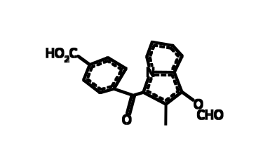 Cc1c(OC=O)c2ccccn2c1C(=O)c1ccc(C(=O)O)cc1